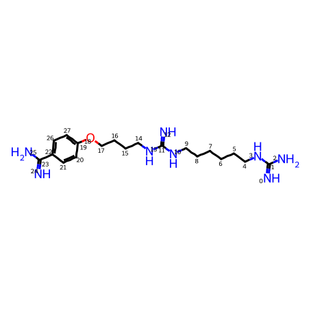 N=C(N)NCCCCCCNC(=N)NCCCCOc1ccc(C(=N)N)cc1